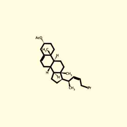 CC(=O)O[C@@H]1CC[C@@]2(C)C(=CC[C@H]3[C@@H]4CC[C@H]([C@H](C)/C=C\CC(C)C)[C@@]4(C)CC[C@@H]32)C1